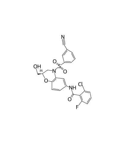 N#Cc1cccc(S(=O)(=O)N2C[C@H](CO)Oc3ccc(NC(=O)c4c(F)cccc4Cl)cc32)c1